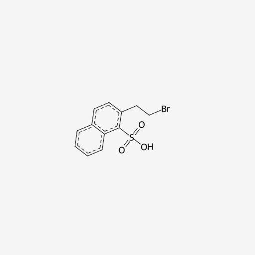 O=S(=O)(O)c1c(CCBr)ccc2ccccc12